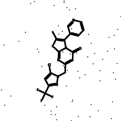 Cc1sc2nc(Cn3nc(C(F)(F)F)cc3Cl)cc(=O)n2c1-c1cccnc1